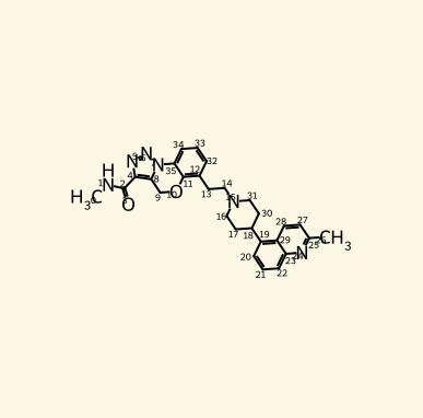 CNC(=O)c1nnn2c1COc1c(CCN3CCC(c4cccc5nc(C)ccc45)CC3)cccc1-2